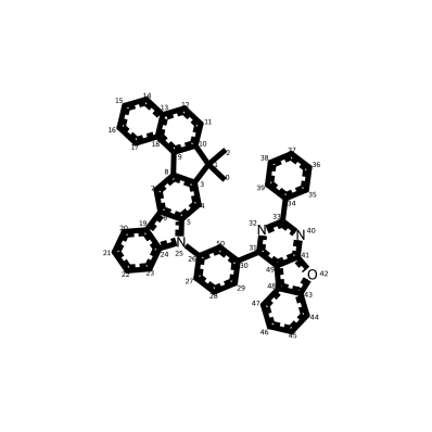 CC1(C)c2cc3c(cc2-c2c1ccc1ccccc21)c1ccccc1n3-c1cccc(-c2nc(-c3ccccc3)nc3oc4ccccc4c23)c1